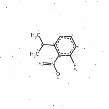 C[C](C)c1cccc(F)c1[N+](=O)[O-]